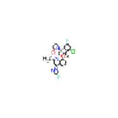 Cc1cc(-n2cc(F)cn2)c2cccc(OCc3c(Cl)cc(F)cc3[C@H](C)N3CCCC3=O)c2n1